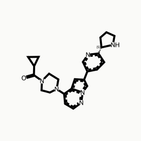 O=C(C1CC1)N1CCN(c2ccnn3cc(-c4ccc([C@@H]5CCCN5)nc4)cc23)CC1